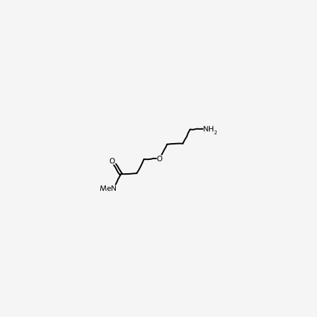 CNC(=O)CCOCCCN